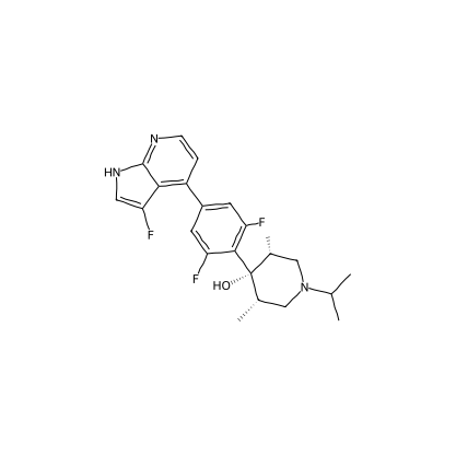 CC(C)N1C[C@@H](C)[C@](O)(c2c(F)cc(-c3ccnc4[nH]cc(F)c34)cc2F)[C@@H](C)C1